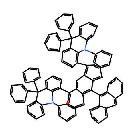 c1ccc(N2c3ccccc3C(c3ccccc3)(c3ccccc3)c3cccc(-c4cccc5c(-c6c7ccccc7cc7ccccc67)c6cccc(-c7cccc8c7N(c7ccccc7)c7ccccc7C8(c7ccccc7)c7ccccc7)c6cc45)c32)cc1